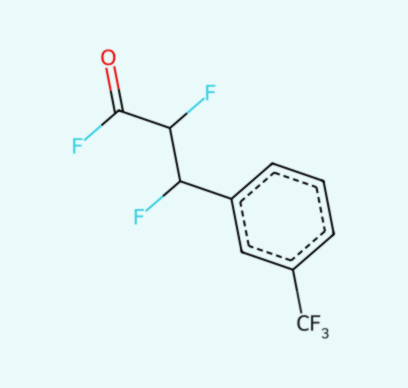 O=C(F)C(F)C(F)c1cccc(C(F)(F)F)c1